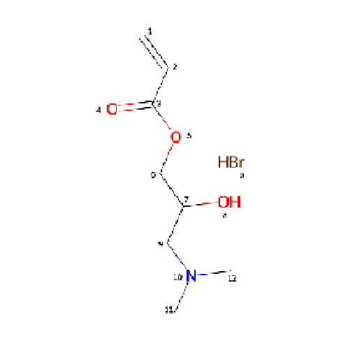 Br.C=CC(=O)OCC(O)CN(C)C